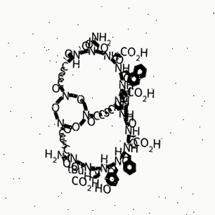 C[C@H]1CSCCC(=O)N2CCOCCN3CCOCCN(CCOCC2)C(=O)CCSC[C@@H]2NC(=O)[C@H](NC(=O)[C@H](Cc4cccc5ccccc45)NC(=O)[C@H](CCC(=O)O)NC(=O)[C@H](CC(N)=O)NC(=O)[C@@H](C)NC1=O)C(C(=O)O)C[C@H](NC2=O)C(=O)N[C@@H](CC(=O)O)C(=O)N[C@@H](Cc1ccccc1)C(=O)N[C@@H](Cc1ccc(O)cc1)C(=O)N[C@@H](CCC(=O)O)C(=O)N[C@@H](C(C)(C)C)C(=O)N[C@H](C(N)=O)CSCCC3=O